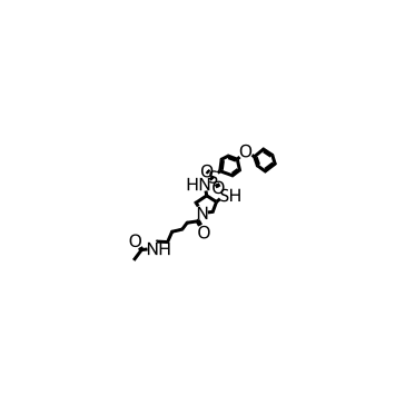 CC(=O)NCCCCCC(=O)N1CC(S)C(NS(=O)(=O)c2ccc(Oc3ccccc3)cc2)C1